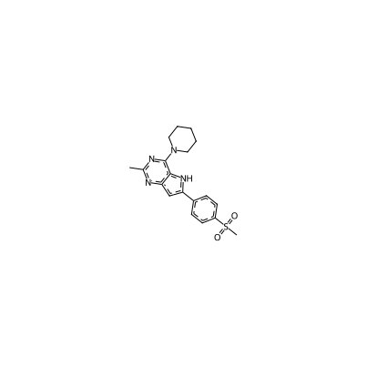 Cc1nc(N2CCCCC2)c2[nH]c(-c3ccc(S(C)(=O)=O)cc3)cc2n1